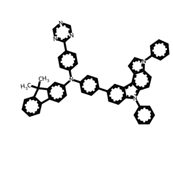 CC1(C)c2ccccc2-c2ccc(N(c3ccc(-c4ccc5c(c4)c4c6ccn(-c7ccccc7)c6ccc4n5-c4ccccc4)cc3)c3ccc(-c4ncncn4)cc3)cc21